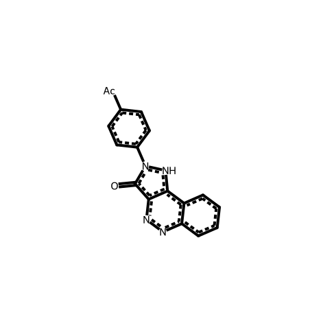 CC(=O)c1ccc(-n2[nH]c3c(nnc4ccccc43)c2=O)cc1